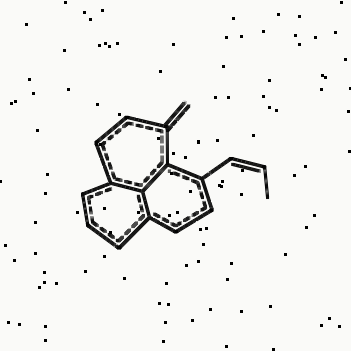 C=c1ccc2cccc3ccc(/C=C\C)c1c32